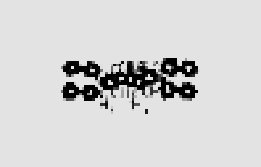 Cc1ccc(-c2ccccc2)cc1N(c1cccc(-c2ccccc2)c1)c1cc(C)c2c(c1)C(C)(C)c1cc3c(cc1-2)C(C)(C)c1cc(N(c2cccc(-c4ccccc4)c2)c2cc(-c4ccccc4)ccc2C)cc(C)c1-3